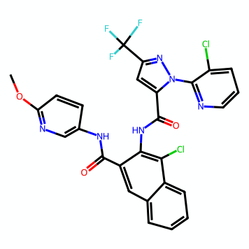 COc1ccc(NC(=O)c2cc3ccccc3c(Cl)c2NC(=O)c2cc(C(F)(F)F)nn2-c2ncccc2Cl)cn1